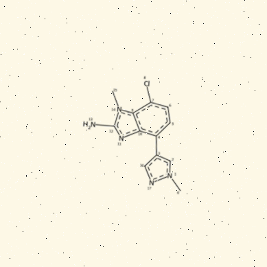 Cn1cc(-c2ccc(Cl)c3c2nc(N)n3C)cn1